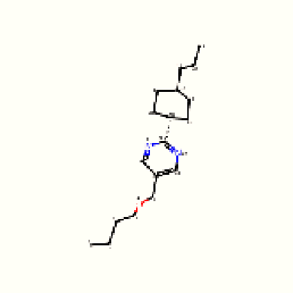 CCCCOCc1cnc([C@H]2CC[C@H](CCC)CC2)nc1